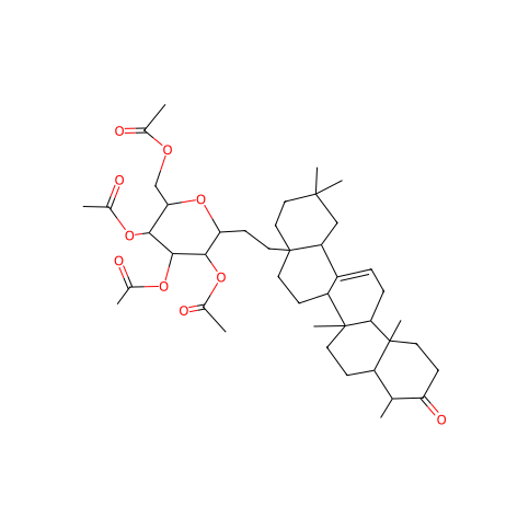 CC(=O)OCC1OC(CCC23CCC4C(=CCC5C4(C)CCC4C(C)C(=O)CCC45C)C2CC(C)(C)CC3)C(OC(C)=O)C(OC(C)=O)C1OC(C)=O